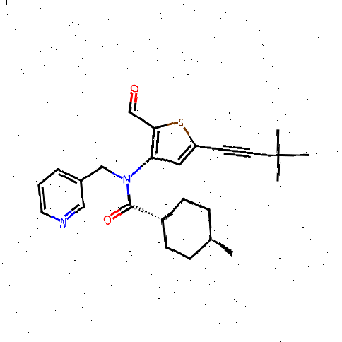 CC(C)(C)C#Cc1cc(N(Cc2cccnc2)C(=O)[C@H]2CC[C@H](C)CC2)c(C=O)s1